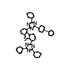 c1ccc(-c2ccc(-c3nc(-c4ccccc4)nc(-c4cccc5sc6c(-c7nc(-c8ccccc8)nc(-c8ccccc8)n7)cccc6c45)n3)cc2)cc1